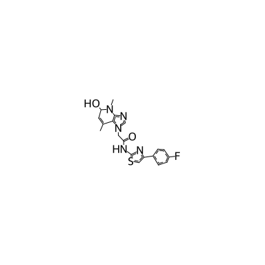 CC1=CC(O)N(C)c2ncn(CC(=O)Nc3nc(-c4ccc(F)cc4)cs3)c21